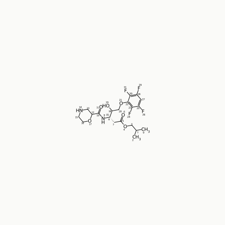 CC(C)COC(=O)C[C@H](NC(=O)C1CNCCO1)C(O)COc1c(F)c(F)cc(F)c1F